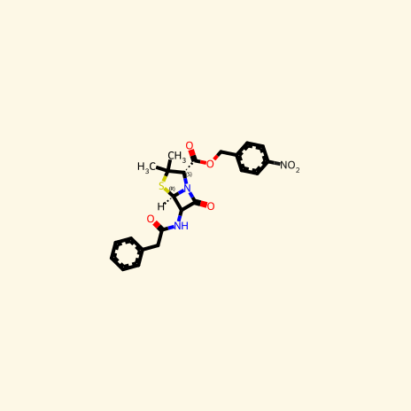 CC1(C)S[C@@H]2C(NC(=O)Cc3ccccc3)C(=O)N2[C@H]1C(=O)OCc1ccc([N+](=O)[O-])cc1